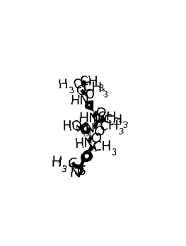 Cc1ncsc1-c1ccc([C@H](C)NC(=O)[C@@H]2C[C@@H](O)CN2C(=O)[C@@H](NC(=O)[C@H]2C[C@@H](NC(=O)OC(C)(C)C)C2)C(C)(C)C)cc1